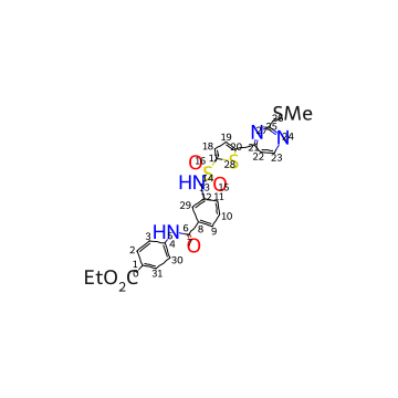 CCOC(=O)c1ccc(NC(=O)c2cccc(NS(=O)(=O)c3ccc(-c4ccnc(SC)n4)s3)c2)cc1